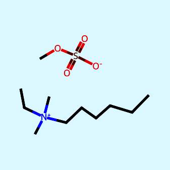 CCCCCC[N+](C)(C)CC.COS(=O)(=O)[O-]